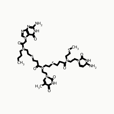 CCCCN(CCSCCC(=O)N(CCSCCC(=O)N(CCSC)CCN1C=CC(N)NC1=O)CCn1cc(C)c(=O)[nH]c1=O)C(=O)Cn1cnc2nc(N)[nH]c(=O)c21